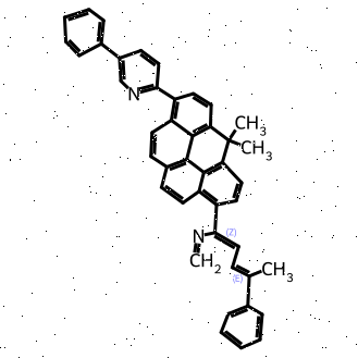 C=N/C(=C\C=C(/C)c1ccccc1)c1ccc2c3c1ccc1ccc4c(-c5ccc(-c6ccccc6)cn5)ccc(c4c13)C2(C)C